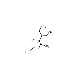 CCCC(C)[C@H](N)C(CC)CC